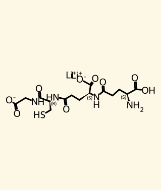 N[C@@H](CCC(=O)N[C@@H](CCC(=O)N[C@@H](CS)C(=O)NCC(=O)[O-])C(=O)[O-])C(=O)O.[Li+].[Li+]